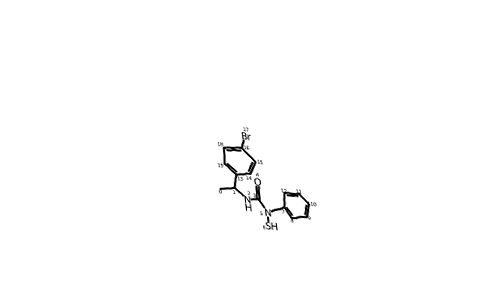 CC(NC(=O)N(S)c1cc[c]cc1)c1ccc(Br)cc1